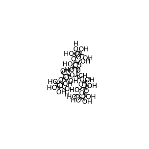 CC(CO[C@@H]1OC(CO)[C@@H](O[C@@H]2OC(CO)[C@H](O)[C@H](O)C2O)[C@H](O)C1O)(CO[C@@H]1OC(CO)[C@@H](O[C@@H]2OC(CO)[C@H](O)C(O)[C@@H]2O)C(O)[C@@H]1O)CO[C@@H]1CC(CO)[C@@H](O[C@@H]2CC(CO)[C@H](O)[C@H](O)C2O)[C@H](O)C1O